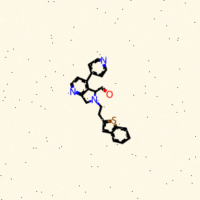 O=CC1c2c(-c3ccncc3)ccnc2CN1CCc1cc2ccccc2s1